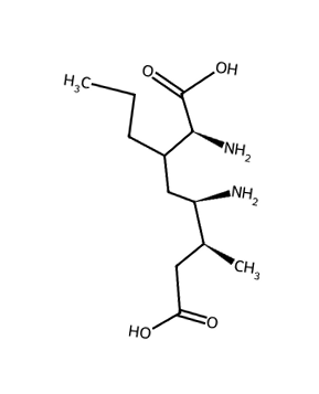 CCCC(C[C@@H](N)[C@@H](C)CC(=O)O)[C@H](N)C(=O)O